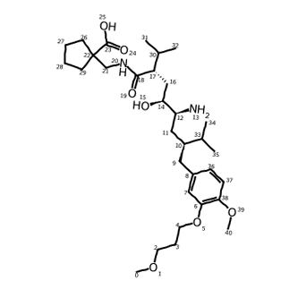 COCCCOc1cc(C[C@@H](C[C@H](N)[C@@H](O)C[C@H](C(=O)NCC2(C(=O)O)CCCC2)C(C)C)C(C)C)ccc1OC